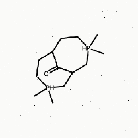 C[PH]1(C)CCC2CC[PH](C)(C)CC(C1)C2=O